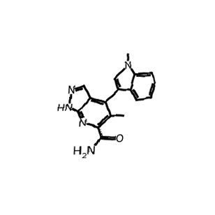 Cc1c(C(N)=O)nc2[nH]ncc2c1-c1cn(C)c2ccccc12